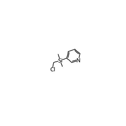 C[Si](C)(CCl)c1cccnc1